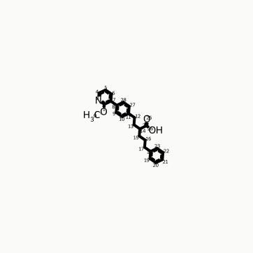 COc1ncccc1-c1ccc(CCC(CCCc2ccccc2)C(=O)O)cc1